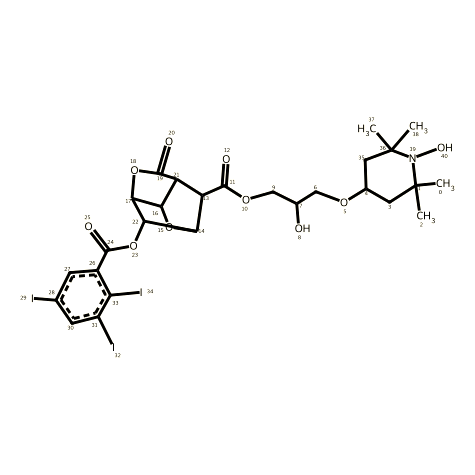 CC1(C)CC(OCC(O)COC(=O)C2C3OC4C(OC(=O)C42)C3OC(=O)c2cc(I)cc(I)c2I)CC(C)(C)N1O